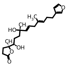 C/C(=C\CCc1ccoc1)C/C=C/[C@@](C)(O)CC[C@@H](O)[C@]1(C)CCC(=O)O1